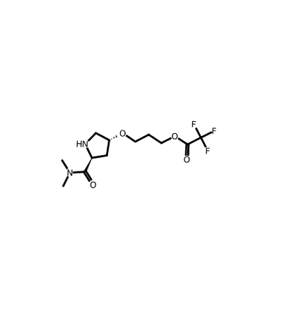 CN(C)C(=O)[C@@H]1C[C@@H](OCCCOC(=O)C(F)(F)F)CN1